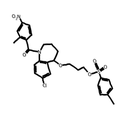 Cc1ccc(S(=O)(=O)OCCCOC2CCCN(C(=O)c3ccc([N+](=O)[O-])cc3C)c3ccc(Cl)cc32)cc1